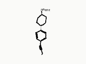 CC#Cc1ccc([C@H]2CC[C@H](CCCCC)CC2)cc1